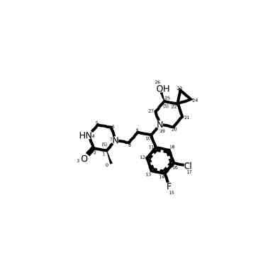 C[C@H]1C(=O)NCCN1CCC(c1ccc(F)c(Cl)c1)N1CCC2(CC2)[C@H](O)C1